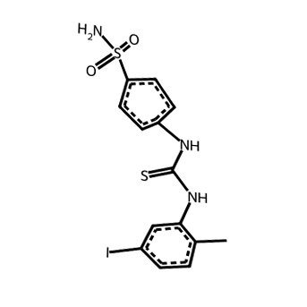 Cc1ccc(I)cc1NC(=S)Nc1ccc(S(N)(=O)=O)cc1